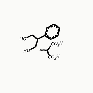 CC(C(=O)O)C(=O)O.OCC(CO)c1ccccc1